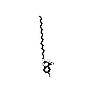 CCCCCCCCCCCCCCCCOc1nc2ccc(Cl)cc2c(=O)o1